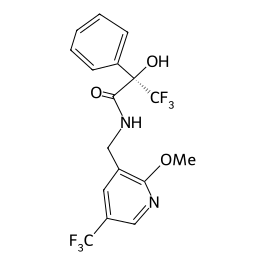 COc1ncc(C(F)(F)F)cc1CNC(=O)[C@](O)(c1ccccc1)C(F)(F)F